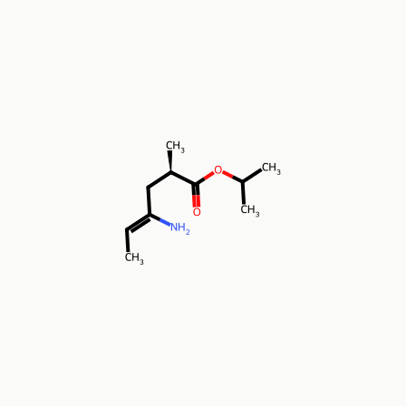 C/C=C(\N)C[C@@H](C)C(=O)OC(C)C